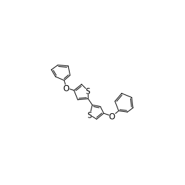 c1ccc(Oc2csc(-c3cc(Oc4ccccc4)cs3)c2)cc1